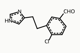 O=Cc1ccc(Cl)c(CCc2c[nH]cn2)c1